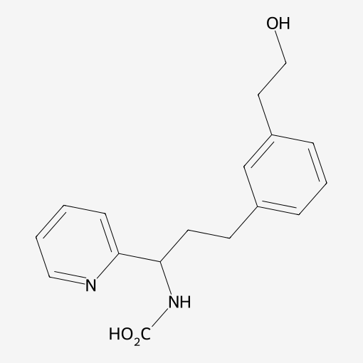 O=C(O)NC(CCc1cccc(CCO)c1)c1ccccn1